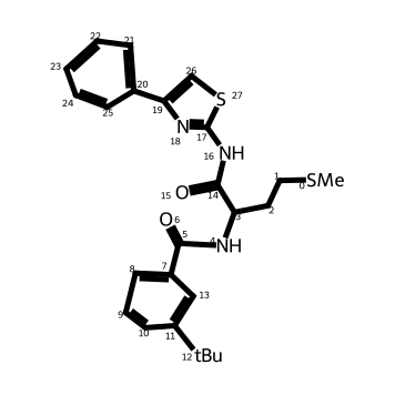 CSCCC(NC(=O)c1cccc(C(C)(C)C)c1)C(=O)Nc1nc(-c2ccccc2)cs1